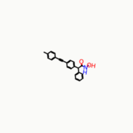 Cc1ccc(C#Cc2ccc(C(C(=O)NO)c3ccccc3)cc2)cc1